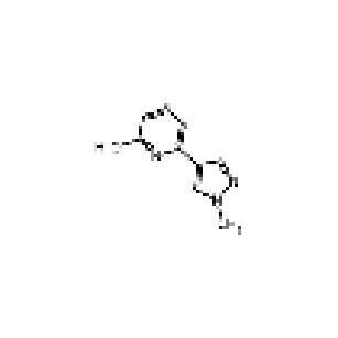 Cc1cncc(-c2cnn(C)c2)n1